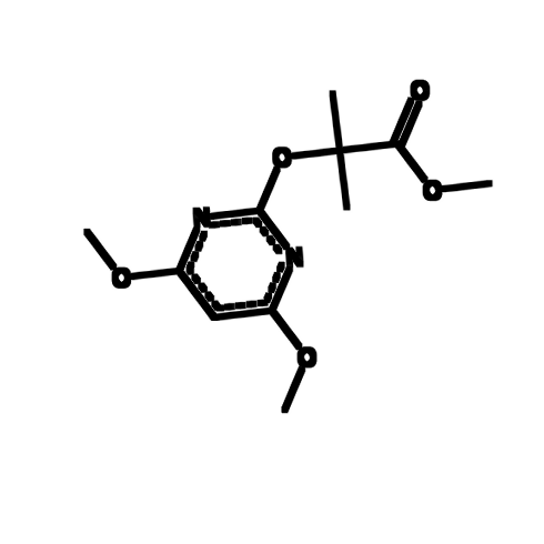 COC(=O)C(C)(C)Oc1nc(OC)cc(OC)n1